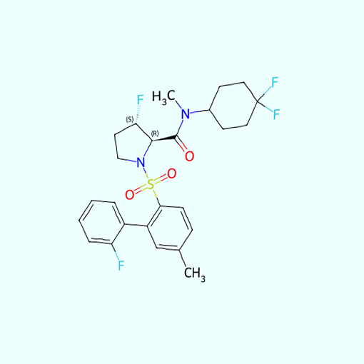 Cc1ccc(S(=O)(=O)N2CC[C@H](F)[C@H]2C(=O)N(C)C2CCC(F)(F)CC2)c(-c2ccccc2F)c1